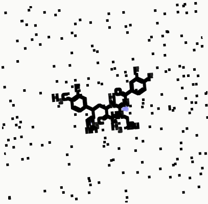 C=C(C)C(CC(/C=C/CCC)c1ccc(C)c(F)c1)N/C(=N\C(=O)c1ccc(F)c(F)c1)NCC(C)CC